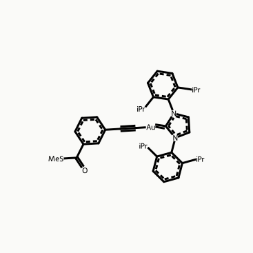 CSC(=O)c1cccc(C#[C][Au]=[c]2n(-c3c(C(C)C)cccc3C(C)C)ccn2-c2c(C(C)C)cccc2C(C)C)c1